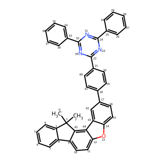 CC1(C)c2ccccc2-c2ccc3oc4ccc(-c5ccc(-c6nc(-c7ccccc7)nc(-c7ccccc7)n6)cc5)cc4c3c21